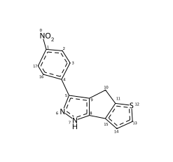 O=[N+]([O-])c1ccc(-c2n[nH]c3c2Cc2sccc2-3)cc1